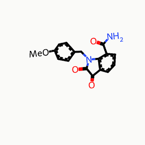 COc1ccc(CN2C(=O)C(=O)c3cccc(C(N)=O)c32)cc1